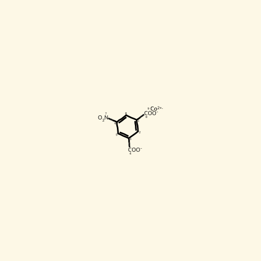 O=C([O-])c1cc(C(=O)[O-])cc([N+](=O)[O-])c1.[Co+2]